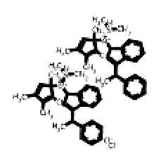 CC1=C[C](C)([Zr+]([CH]2C=C(C(C)c3ccccc3)c3ccccc32)[SiH](C)C)C(C)=C1C.CC1=C[C](C)([Zr+]([CH]2C=C(C(C)c3ccccc3)c3ccccc32)[SiH](C)C)C(C)=C1C.[Cl-].[Cl-]